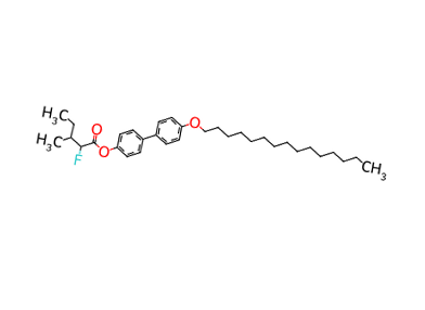 CCCCCCCCCCCCCCCOc1ccc(-c2ccc(OC(=O)C(F)C(C)CC)cc2)cc1